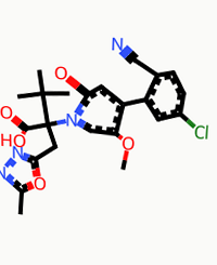 COc1cn(C(Cc2nnc(C)o2)(C(=O)O)C(C)(C)C)c(=O)cc1-c1cc(Cl)ccc1C#N